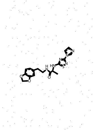 CC(Nc1nc(-n2ccnc2)ns1)C(=O)NCCc1ccc2c(c1)OCO2